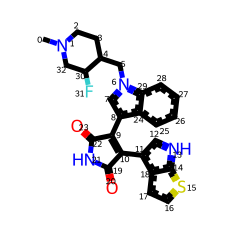 CN1CCC(Cn2cc(C3=C(c4c[nH]c5sccc45)C(=O)NC3=O)c3ccccc32)C(F)C1